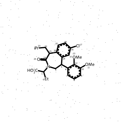 CCC(C(=O)O)N1CC(c2cccc(OC)c2OC)c2cc(Cl)ccc2C(CC(C)C)C1=O